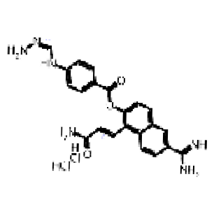 Cl.Cl.N=C(N)c1ccc2c(/C=C/C(N)=O)c(OC(=O)c3ccc(N/C=N\N)cc3)ccc2c1